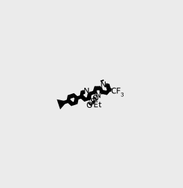 CCS(=O)(=O)c1cc(-c2ccc(C3CC3)cc2)cnc1-c1cc2n(C)cc(C(F)(F)F)cc-2n1